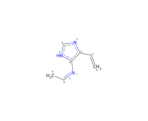 C=Cc1nc[nH]c1/N=C\C